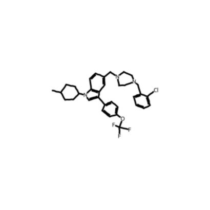 CC1CCC(n2cc(-c3ccc(OC(F)(F)F)cc3)c3cc(CN4CCN(Cc5ccccc5Cl)CC4)ccc32)CC1